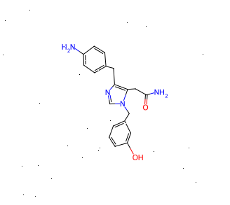 NC(=O)Cc1c(Cc2ccc(N)cc2)ncn1Cc1cccc(O)c1